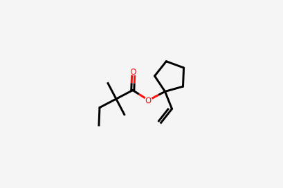 C=CC1(OC(=O)C(C)(C)CC)CCCC1